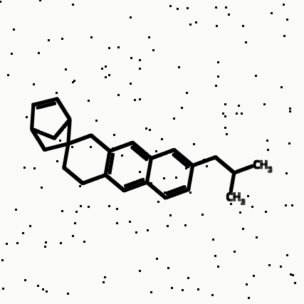 CC(C)Cc1ccc2cc3c(cc2c1)CC1(CC3)CC2C=CC1C2